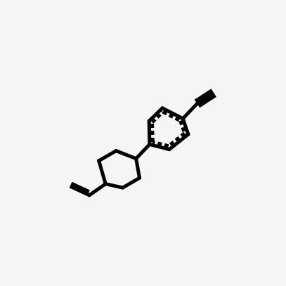 C#Cc1ccc(C2CCC(C=C)CC2)cc1